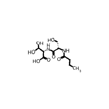 CCCC(=O)N[C@@H](CO)C(=O)N[C@H](C(=O)O)C(O)O